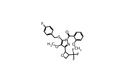 COc1ccccc1C(=O)n1nc(C2OCC2C(F)(F)F)c(OC)c1SCc1ccc(F)cc1